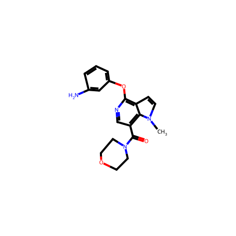 Cn1ccc2c(Oc3cccc(N)c3)ncc(C(=O)N3CCOCC3)c21